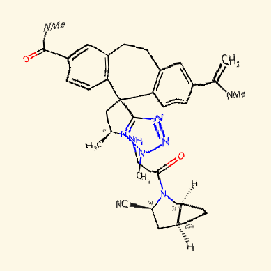 C=C(NC)c1ccc2c(c1)CCc1cc(C(=O)NC)ccc1C2(C[C@H](C)NCC(=O)N1[C@H](C#N)C[C@@H]2C[C@@H]21)c1nnn(C)n1